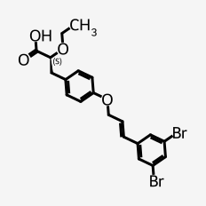 CCO[C@@H](Cc1ccc(OCC=Cc2cc(Br)cc(Br)c2)cc1)C(=O)O